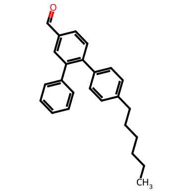 CCCCCCc1ccc(-c2ccc(C=O)cc2-c2ccccc2)cc1